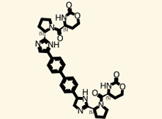 O=C1N[C@H](C(=O)N2CCC[C@H]2C2=NCC(c3ccc(-c4ccc(-c5cnc([C@@H]6CCCN6C(=O)[C@@H]6CCOC(=O)N6)[nH]5)cc4)cc3)N2)CCO1